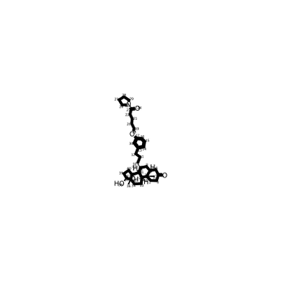 C[C@]12CCC(=O)C[C@@H]1C[C@@H](CCCc1cccc(OCCCCC(=O)N3CCCC3)c1)[C@@H]1[C@@H]2CC[C@]2(C)[C@@H](O)CC[C@@H]12